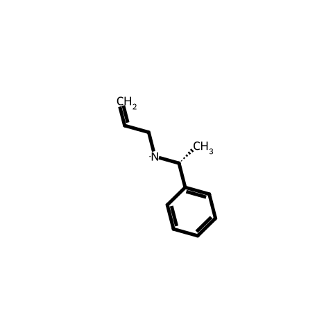 C=CC[N][C@H](C)c1ccccc1